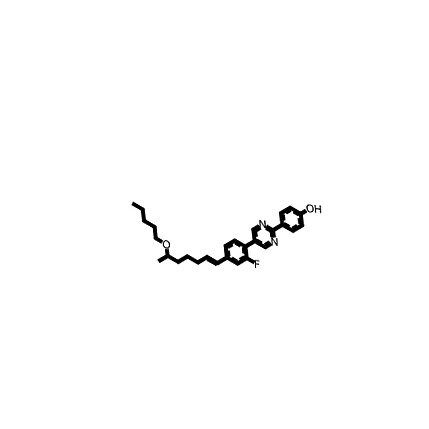 CCCCCOC(C)CCCC=Cc1ccc(-c2cnc(-c3ccc(O)cc3)nc2)c(F)c1